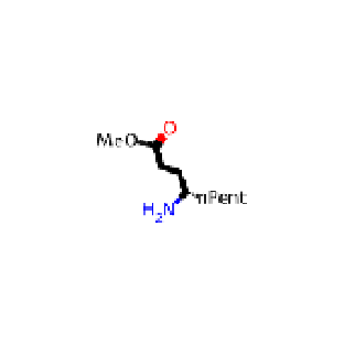 CCCCC[C@H](N)CCC(=O)OC